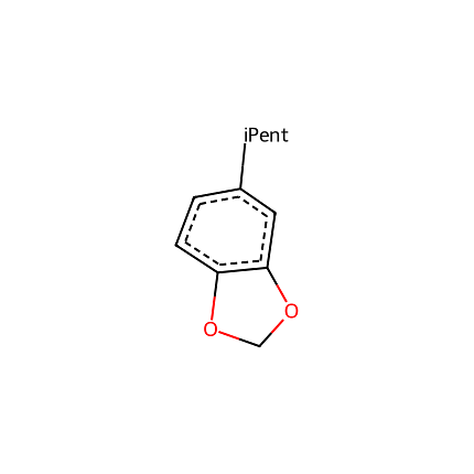 CCCC(C)c1ccc2c(c1)OCO2